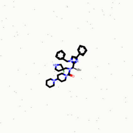 CC(C)(C)[C@H](c1nc(-c2ccccc2)cn1Cc1ccccc1)N(C[C@]1(F)CCNC1)C(=O)N1CCC(N2CCCCC2)CC1